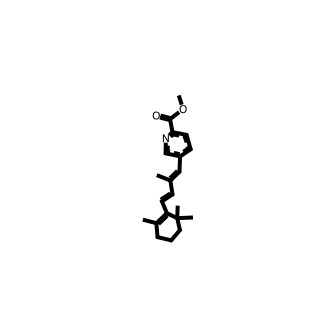 COC(=O)c1ccc(/C=C(C)/C=C/C2=C(C)CCCC2(C)C)cn1